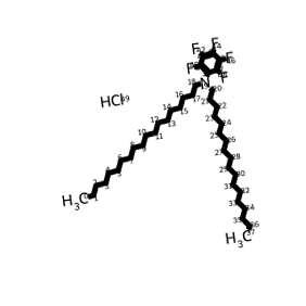 CCCCCCCCCCCCCCCCCCCN(CCCCCCCCCCCCCCCCCC)c1c(F)c(F)c(F)c(F)c1F.Cl